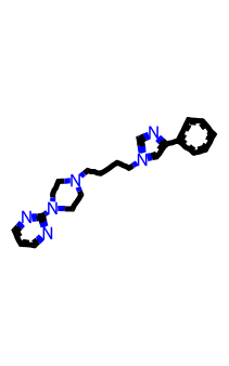 c1ccc(-c2cn(CCCCN3CCN(c4ncccn4)CC3)cn2)cc1